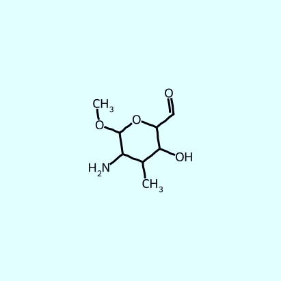 COC1OC(C=O)C(O)C(C)C1N